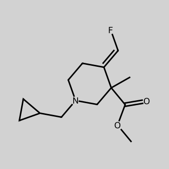 COC(=O)C1(C)CN(CC2CC2)CC/C1=C\F